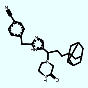 N#Cc1ccc(Cc2ncc(C(CCC34CC5CC(CC(C5)C3)C4)N3CCNC(=O)C3)[nH]2)cc1